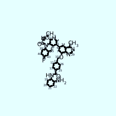 COc1ncc(-c2cc(OCc3ccc(C(=O)Nc4ccccc4N)cc3)c3ncnc(C)c3c2)cc1N(c1ccc(F)cc1F)[SH](=O)=O